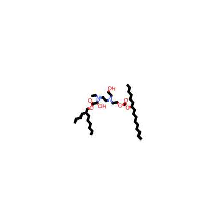 CCCCCCCCCC(CCCCCC)OC(=O)OCCN(CCO)CCN(CC)C(O)C(=O)OCC(CCCC)CCCCCC